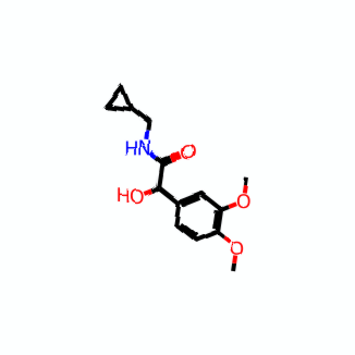 COc1ccc(C(O)C(=O)NCC2CC2)cc1OC